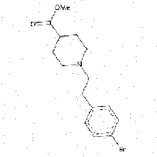 COC(=O)C1CCN(CCc2ccc(Br)cc2)CC1